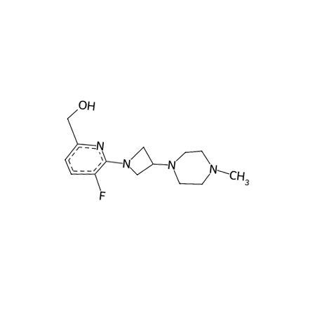 CN1CCN(C2CN(c3nc(CO)ccc3F)C2)CC1